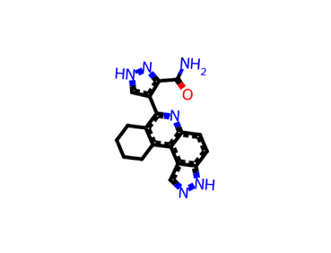 NC(=O)c1n[nH]cc1-c1nc2ccc3[nH]ncc3c2c2c1CCCC2